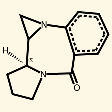 O=C1c2ccccc2N2CC2[C@@H]2CCCN12